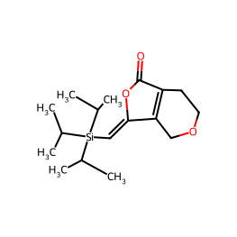 CC(C)[Si](/C=C1\OC(=O)C2=C1COCC2)(C(C)C)C(C)C